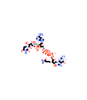 CO[C@@H]1[C@H](OP(=O)(O)OC[C@H]2O[C@@H](n3ccc(=O)[nH]c3=O)[C@H](O)[C@@H]2O)[C@@H](COP(=O)(O)OP(=O)(O)OP(=O)(O)OC[C@H]2OC(n3c[n+](C)c4c(=O)[nH]c(N)nc43)[C@H](O)[C@@H]2CCCC(=O)N(C)C)O[C@H]1n1cnc2c(N)ncnc21